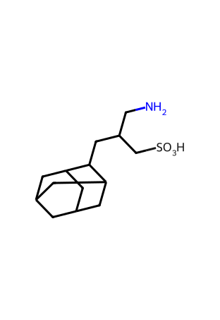 NCC(CC1C2CC3CC(C2)CC1C3)CS(=O)(=O)O